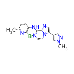 Cc1ccc(Nc2nccn3c(-c4cnn(C)c4)cnc23)c(Br)n1